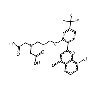 O=C(O)CN(CCCOc1cc(C(F)(F)F)ccc1-c1cc(=O)c2cccc(Cl)c2o1)CC(=O)O